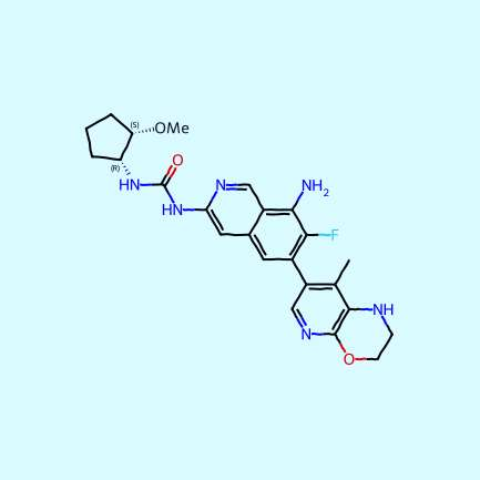 CO[C@H]1CCC[C@H]1NC(=O)Nc1cc2cc(-c3cnc4c(c3C)NCCO4)c(F)c(N)c2cn1